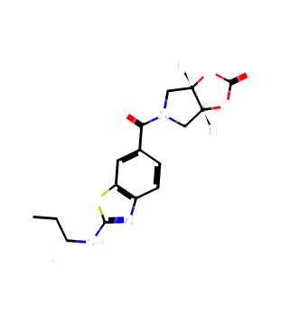 CC[C@@H](C)Nc1nc2ccc(C(=O)N3C[C@@H]4OC(=O)O[C@@H]4C3)cc2s1